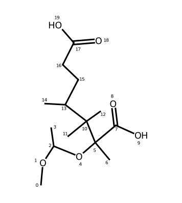 COC(C)OC(C)(C(=O)O)C(C)(C)C(C)CCC(=O)O